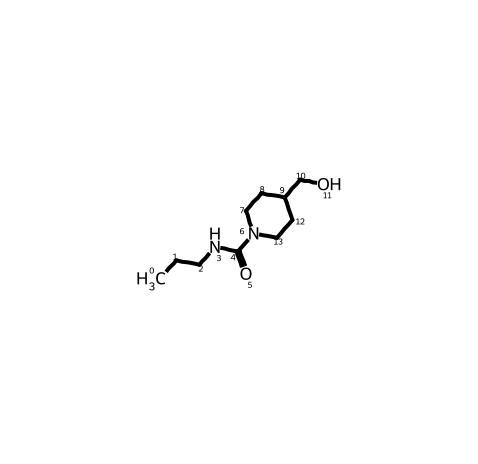 CCCNC(=O)N1CCC(CO)CC1